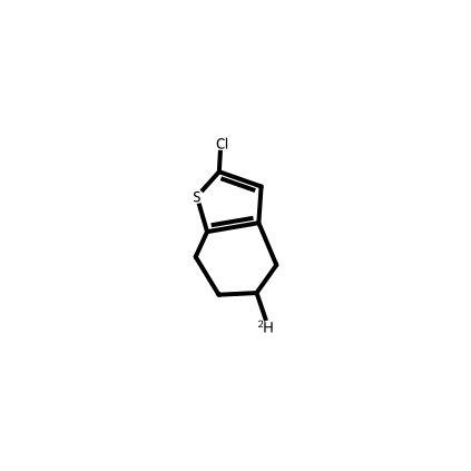 [2H]C1CCc2sc(Cl)cc2C1